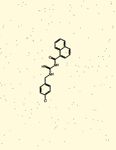 N=C(NCc1ccc(Cl)cc1)NC(=O)c1cccc2ccccc12